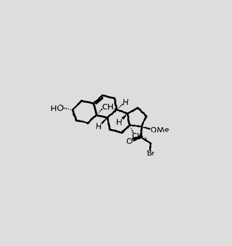 CO[C@]1(C(=O)CBr)CC[C@H]2[C@@H]3CC=C4C[C@@H](O)CC[C@]4(C)[C@H]3CC[C@@]21C